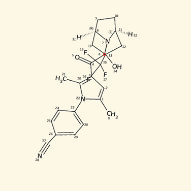 Cc1cc(C(=O)CN2[C@@H]3CC[C@H]2CC(O)(C(F)(F)F)C3)c(C)n1-c1ccc(C#N)cc1